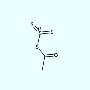 CC(=O)S[SH](=S)=S